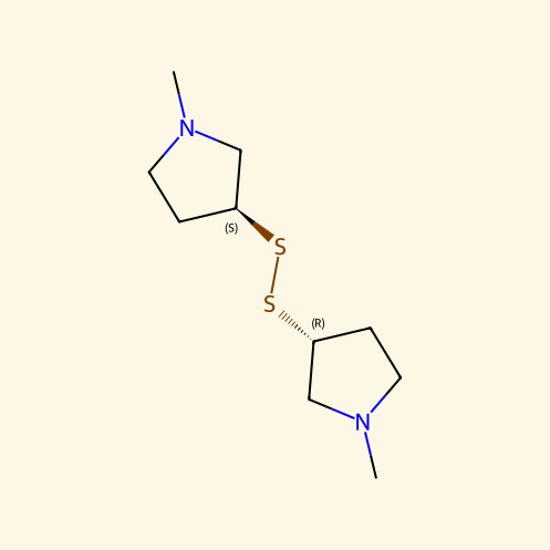 CN1CC[C@@H](SS[C@H]2CCN(C)C2)C1